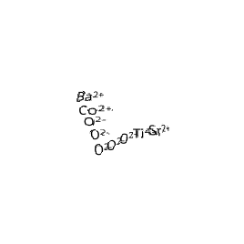 [Ba+2].[Co+2].[O-2].[O-2].[O-2].[O-2].[O-2].[Sr+2].[Ti+4]